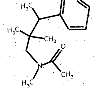 CC(=O)N(C)CC(C)(C)C(C)c1ccccc1